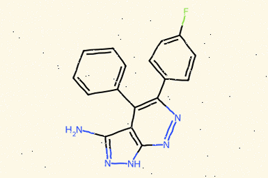 Nc1n[nH]c2nnc(-c3ccc(F)cc3)c(-c3ccccc3)c12